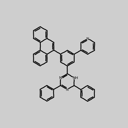 c1ccc(C2=NC(c3ccccc3)NC(c3cc(-c4cccnc4)cc(-c4cc5ccccc5c5ccccc45)c3)=N2)cc1